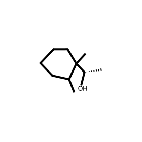 CC1CCCCC1(C)[C@H](C)O